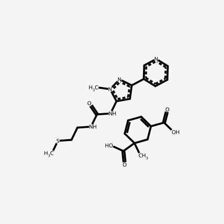 CC1(C(=O)O)C=CC=C(C(=O)O)C1.CSCCNC(=O)Nc1cc(-c2cccnc2)nn1C